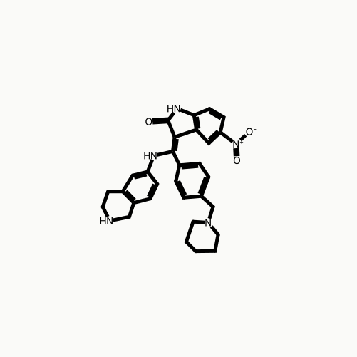 O=C1Nc2ccc([N+](=O)[O-])cc2/C1=C(/Nc1ccc2c(c1)CCNC2)c1ccc(CN2CCCCC2)cc1